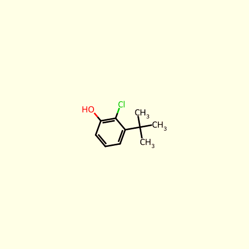 CC(C)(C)c1cccc(O)c1Cl